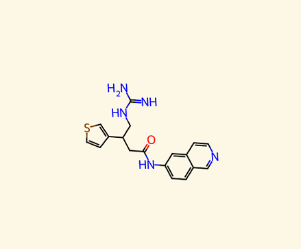 N=C(N)NCC(CC(=O)Nc1ccc2cnccc2c1)c1ccsc1